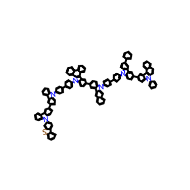 c1ccc(-c2ccc3c(c2)c2cc(-c4ccc5c(c4)c4c6ccccc6ccc4n5-c4ccccc4)ccc2n3-c2ccc(-c3ccc(-n4c5ccc(-c6ccc7c(c6)c6c8ccccc8c8ccccc8c6n7-c6ccc(-c7ccc(-n8c9ccccc9c9cc(-c%10ccc%11c(c%10)c%10ccccc%10n%11-c%10ccc%11c(c%10)sc%10ccccc%10%11)ccc98)cc7)cc6)cc5c5cc6ccccc6cc54)cc3)cc2)cc1